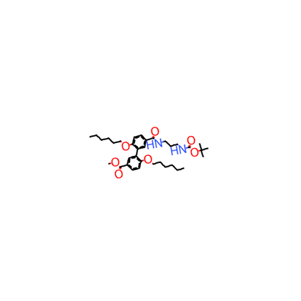 CCCCCCOc1ccc(C(=O)NCCCNC(=O)OC(C)(C)C)cc1-c1cc(C(=O)OC)ccc1OCCCCCC